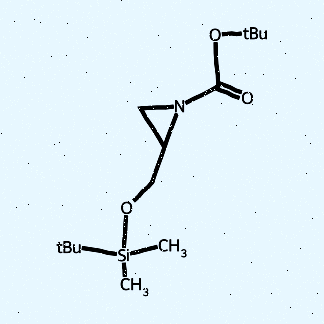 CC(C)(C)OC(=O)N1CC1CO[Si](C)(C)C(C)(C)C